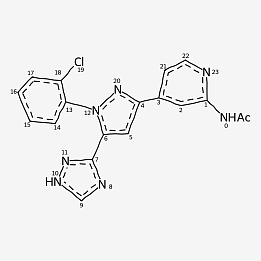 CC(=O)Nc1cc(-c2cc(-c3nc[nH]n3)n(-c3ccccc3Cl)n2)ccn1